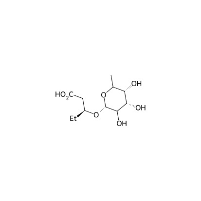 CC[C@@H](CC(=O)O)O[C@@H]1OC(C)[C@H](O)[C@H](O)C1O